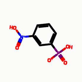 O=[N+](O)c1cccc(P(=O)([O-])O)c1